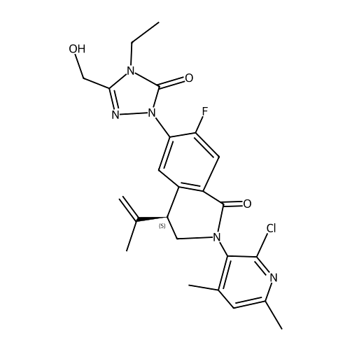 C=C(C)[C@@H]1CN(c2c(C)cc(C)nc2Cl)C(=O)c2cc(F)c(-n3nc(CO)n(CC)c3=O)cc21